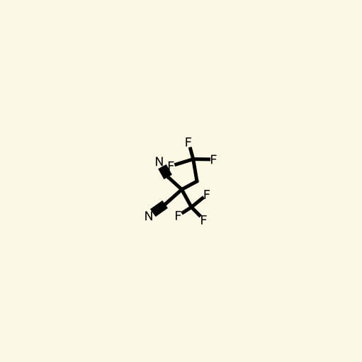 N#CC(C#N)(CC(F)(F)F)C(F)(F)F